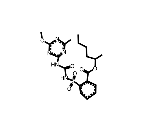 CCCCC(C)OC(=O)c1ccccc1S(=O)(=O)NC(=O)Nc1nc(C)nc(OC)n1